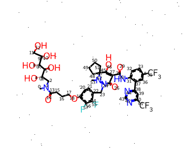 CN(C[C@H](O)C(O)[C@H](O)[C@H](O)CO)C(=O)CCCOc1ccc(CN2C(=O)C(C(=O)Nc3ccc(C(F)(F)F)cc3-c3cc(C(F)(F)F)ncn3)=C(O)C3(CCCC3)N2C)c(F)c1F